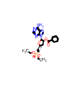 CCOP(=O)(/C=C/[C@@H]1C[C@@H](OC(=O)c2ccccc2)[C@H](n2cnc3c(N)ncnc32)O1)OCC